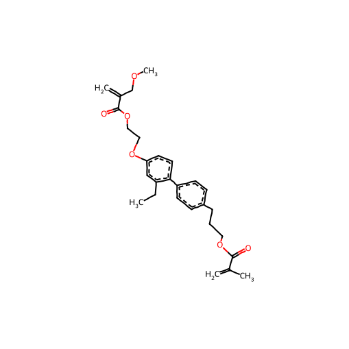 C=C(C)C(=O)OCCCc1ccc(-c2ccc(OCCOC(=O)C(=C)COC)cc2CC)cc1